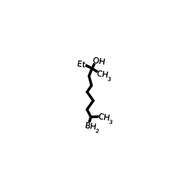 BC(C)CCCCCC(C)(O)CC